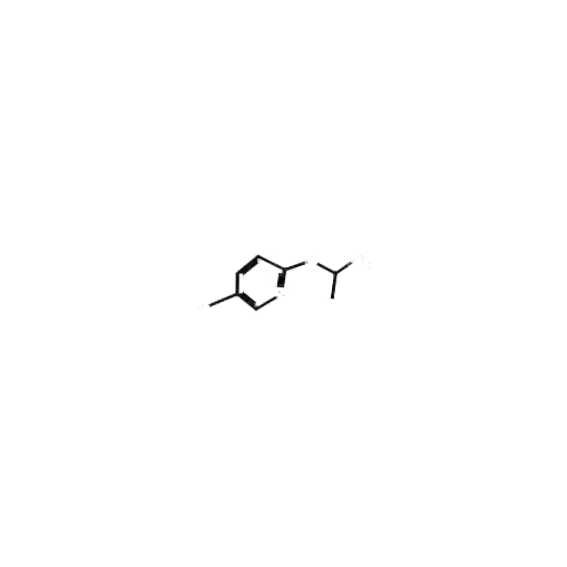 CC(C)c1ccc(OC(C)C(F)(F)F)nc1